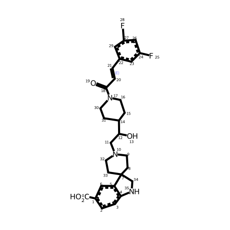 O=C(O)c1ccc2c(c1)C1(CCN(CC(O)C3CCN(C(=O)/C=C/c4cc(F)cc(F)c4)CC3)CC1)CN2